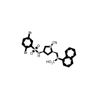 N#CN1C[C@H](NS(=O)(=O)c2cc(Br)ccc2Br)C[C@@H]1CN(C(=O)O)c1cccc2ccccc12